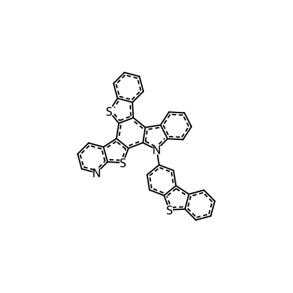 c1ccc2c(c1)sc1ccc(-n3c4ccccc4c4c5c6ccccc6sc5c5c6cccnc6sc5c43)cc12